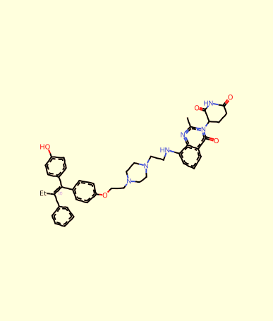 CC/C(=C(\c1ccc(O)cc1)c1ccc(OCCN2CCN(CCNc3cccc4c(=O)n(C5CCC(=O)NC5=O)c(C)nc34)CC2)cc1)c1ccccc1